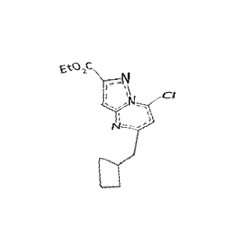 CCOC(=O)c1cc2nc(CC3CCC3)cc(Cl)n2n1